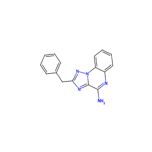 Nc1nc2ccccc2n2nc(Cc3ccccc3)nc12